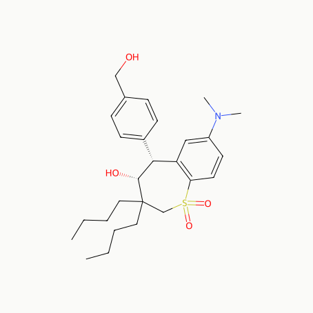 CCCCC1(CCCC)CS(=O)(=O)c2ccc(N(C)C)cc2[C@@H](c2ccc(CO)cc2)[C@H]1O